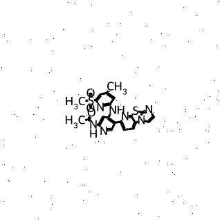 CC(=O)Nc1cc(Nc2cc(C)cc(S(C)(=O)=O)n2)c(-c2ccc3c(n2)sc2nccn23)cn1